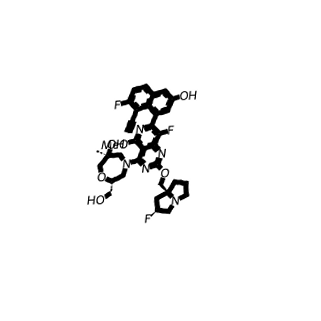 C#Cc1c(F)ccc2cc(O)cc(-c3nc(OC)c4c(N5C[C@H](CO)OC[C@@](C)(O)C5)nc(OC[C@@]56CCCN5C[C@H](F)C6)nc4c3F)c12